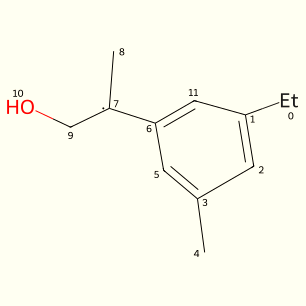 CCc1cc(C)cc([C](C)CO)c1